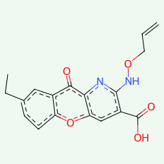 C=CCONc1nc2c(=O)c3cc(CC)ccc3oc2cc1C(=O)O